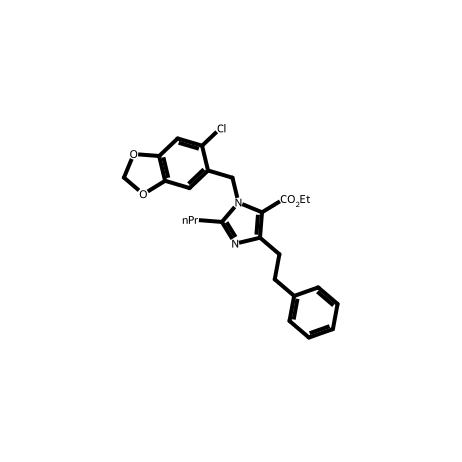 CCCc1nc(CCc2ccccc2)c(C(=O)OCC)n1Cc1cc2c(cc1Cl)OCO2